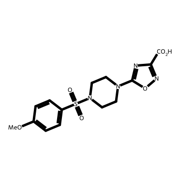 COc1ccc(S(=O)(=O)N2CCN(c3nc(C(=O)O)no3)CC2)cc1